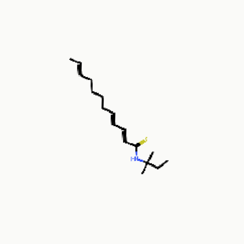 CC=CCCCCC=CC=CC(=S)NC(C)(C)CC